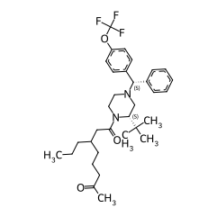 CCCC(CCCC(C)=O)CC(=O)N1CCN([C@@H](c2ccccc2)c2ccc(OC(F)(F)F)cc2)C[C@@H]1C(C)(C)C